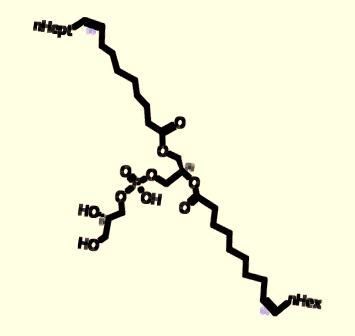 CCCCCC/C=C\CCCCCCCC(=O)O[C@H](COC(=O)CCCCCCC/C=C\CCCCCCC)COP(=O)(O)OC[C@@H](O)CO